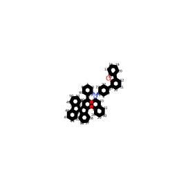 c1ccc(N(c2ccc(-c3cccc4c3oc3ccccc34)cc2)c2ccc3ccccc3c2)c(-c2ccc3c(c2)C2(c4ccccc4-c4ccccc42)c2ccccc2-3)c1